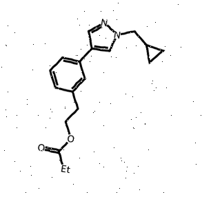 CCC(=O)OCCc1cccc(-c2cnn(CC3CC3)c2)c1